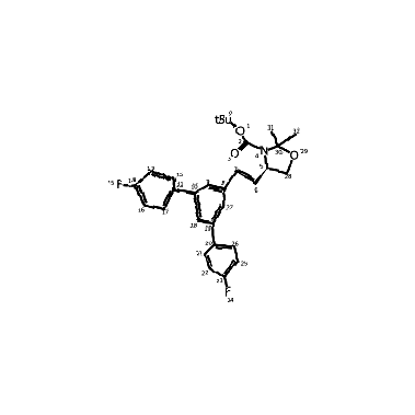 CC(C)(C)OC(=O)N1[C@H](/C=C/c2cc(-c3ccc(F)cc3)cc(-c3ccc(F)cc3)c2)COC1(C)C